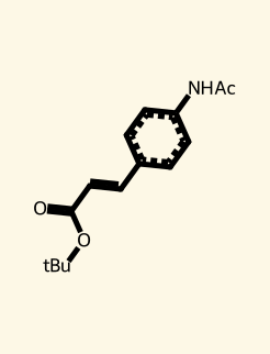 CC(=O)Nc1ccc(C=CC(=O)OC(C)(C)C)cc1